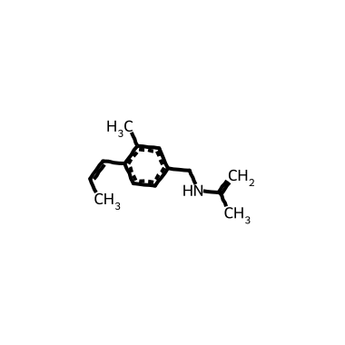 C=C(C)NCc1ccc(/C=C\C)c(C)c1